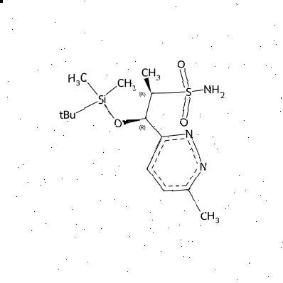 Cc1ccc([C@@H](O[Si](C)(C)C(C)(C)C)[C@@H](C)S(N)(=O)=O)nn1